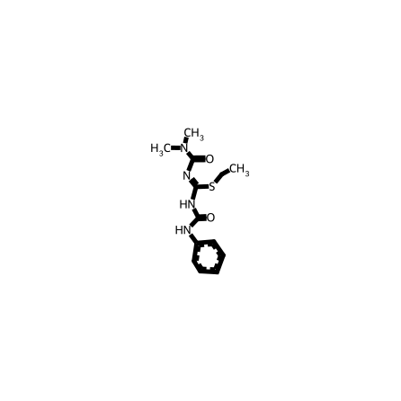 CCSC(=NC(=O)N(C)C)NC(=O)Nc1ccccc1